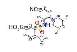 C[C@@H]1C[C@H](C)CN(c2ccc(C#N)cc2NS(=O)(=O)c2cc(C(=O)O)ccc2C2CC2)C1